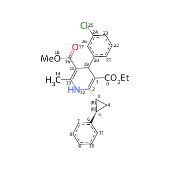 CCOC(=O)C1=C([C@@H]2C[C@H]2c2ccccc2)NC(C)=C(C(=O)OC)C1c1cccc(Cl)c1